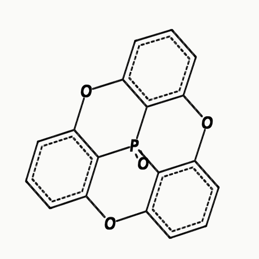 O=P12c3c4cccc3Oc3cccc(c31)Oc1cccc(c12)O4